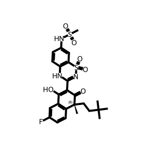 CC(C)(C)CC[C@@]1(C)C(=O)C(C2=NS(=O)(=O)c3cc(NS(C)(=O)=O)ccc3N2)=C(O)c2cc(F)ccc21